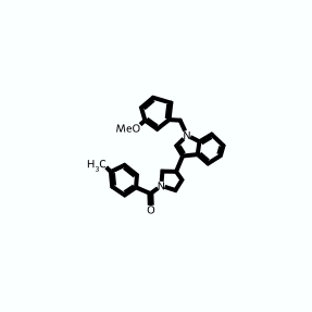 COc1cccc(Cn2cc(C3CCN(C(=O)c4ccc(C)cc4)C3)c3ccccc32)c1